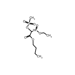 CCCCOC(=O)C(OS(C)(=O)=O)[PH](=O)OCC